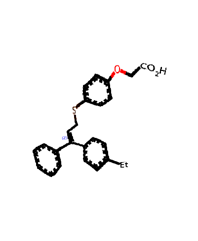 CCc1ccc(/C(=C\CSc2ccc(OCC(=O)O)cc2)c2ccccc2)cc1